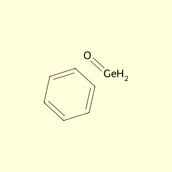 [O]=[GeH2].c1ccccc1